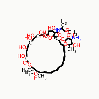 COCC(C)NC(=O)C1[C@@H]2C[C@@H](O[C@@H]3O[C@H](C)[C@@H](O)[C@H](N)[C@@H]3O)/C=C/C=C/C=C/C=C/C=C/C=C/C=C/[C@H](C)[C@@H](O)[C@@H](C)[C@H](C)OC(=O)C[C@H](O)C[C@H](O)CC[C@@H](O)[C@H](O)C[C@H](O)C[C@](O)(C[C@@H]1O)O2